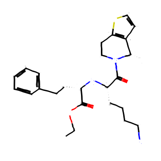 CCOC(=O)[C@H](CCc1ccccc1)N[C@@H](CCCCN)C(=O)N1CCc2sccc2[C@@H]1C